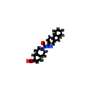 O=C(Nc1ccc2c(c1)Cc1ccccc1-2)N1CCc2ccc(O)cc2CC1